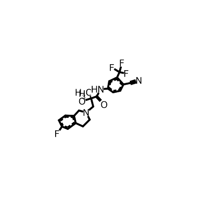 C[C@](O)(CN1CCc2cc(F)ccc2C1)C(=O)Nc1ccc(C#N)c(C(F)(F)F)c1